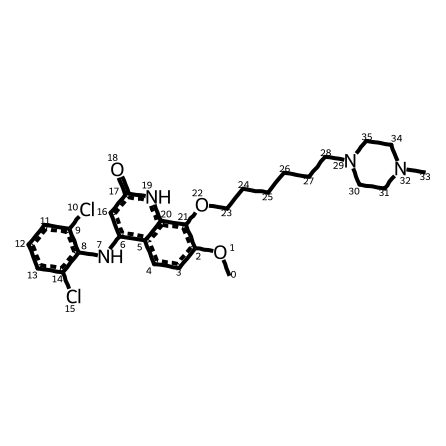 COc1ccc2c(Nc3c(Cl)cccc3Cl)cc(=O)[nH]c2c1OCCCCCCN1CCN(C)CC1